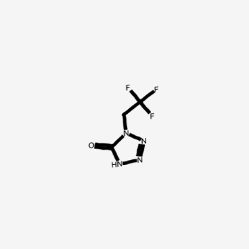 O=c1[nH]nnn1CC(F)(F)F